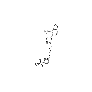 Nc1c(-c2ccnc(OCCCCn3ccc(S(N)(=O)=O)n3)c2)ccc2c1CCC2